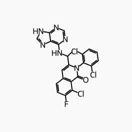 CC(Nc1ncnc2[nH]cnc12)c1cc2ccc(F)c(Cl)c2c(=O)n1-c1c(Cl)cccc1Cl